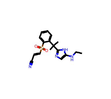 CCNc1cnc(C(C)(C)c2ccccc2S(=O)(=O)/C=C/C#N)[nH]1